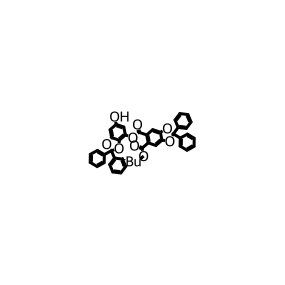 CC(C)(C)OC(=O)c1cc2c(cc1C(=O)Oc1cc(O)cc3c1OC(c1ccccc1)(c1ccccc1)O3)OC(c1ccccc1)(c1ccccc1)O2